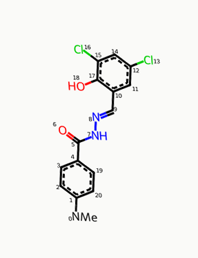 CNc1ccc(C(=O)N/N=C/c2cc(Cl)cc(Cl)c2O)cc1